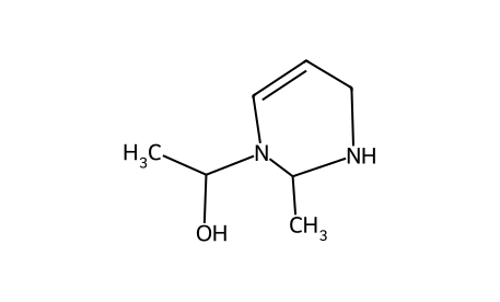 CC(O)N1C=CCNC1C